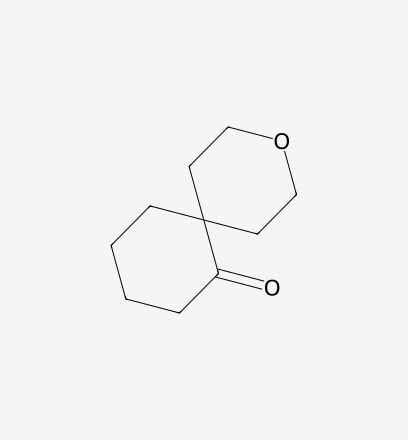 O=C1CCCCC12CCOCC2